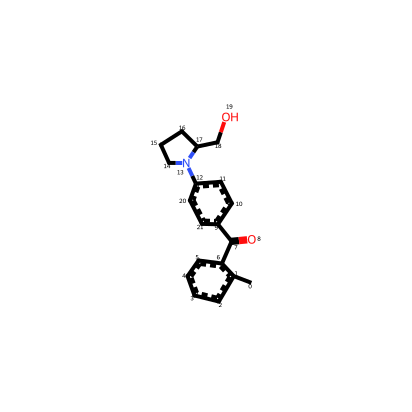 Cc1ccccc1C(=O)c1ccc(N2CCCC2CO)cc1